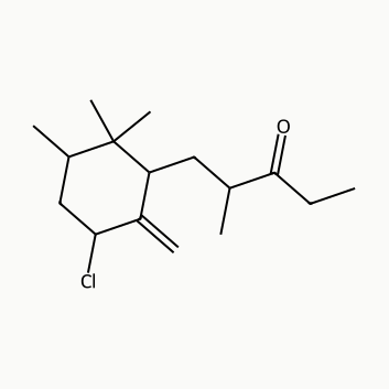 C=C1C(Cl)CC(C)C(C)(C)C1CC(C)C(=O)CC